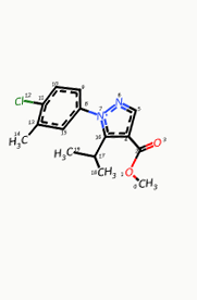 COC(=O)c1cnn(-c2ccc(Cl)c(C)c2)c1C(C)C